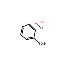 CC[O-].O=S(=O)(O)c1ccccc1.[Na+]